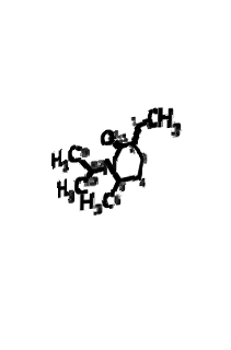 C/C=C1\CCC(C)N(C(C)C)C1=O